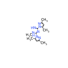 CN/C(=N\C(=N)n1nc(C)cc1C)n1nc(C)cc1C